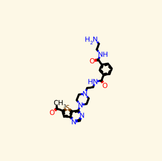 CC(=O)c1cc2ncnc(N3CCN(CCNC(=O)c4cccc(C(=O)NCCN)c4)CC3)c2s1